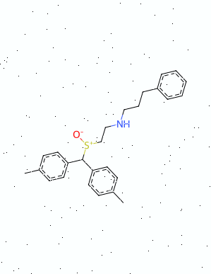 Cc1ccc(C(c2ccc(C)cc2)[S+]([O-])CCNCCCc2ccccc2)cc1